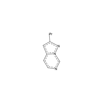 CC(C)c1cc2ccncn2n1